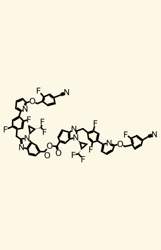 N#Cc1ccc(COc2cccc(-c3cc(F)c(Cc4nc5ccc(C(=O)OC(=O)c6ccc7nc(Cc8cc(F)c(-c9cccc(OCc%10ccc(C#N)cc%10F)n9)cc8F)n([C@@H]8C[C@@H]8C(F)F)c7c6)cc5n4[C@@H]4C[C@@H]4C(F)F)cc3F)n2)c(F)c1